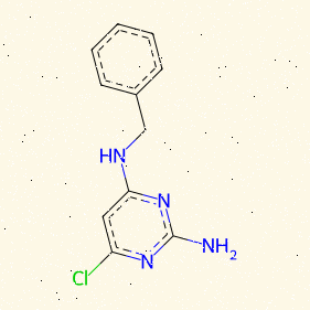 Nc1nc(Cl)cc(NCc2ccccc2)n1